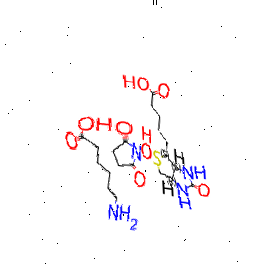 NCCCCCC(=O)O.O=C(O)CCCC[C@@H]1SC[C@@H]2NC(=O)N[C@@H]21.O=C1CCC(=O)N1O